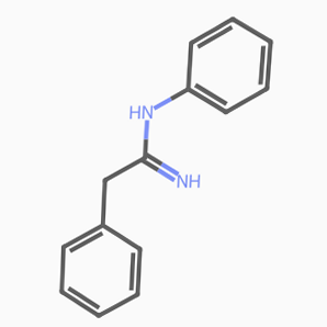 N=C(Cc1ccccc1)Nc1ccccc1